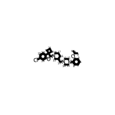 CC(C)Oc1ccccc1N1CCN(CC2CCCN(C(=O)C3(c4ccc(Cl)cc4)CCC3)C2)CC1